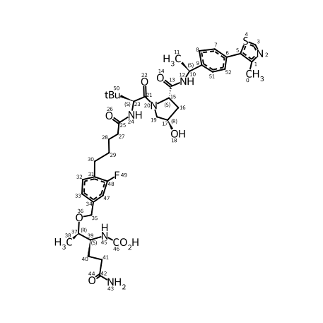 Cc1ncsc1-c1ccc([C@H](C)NC(=O)[C@@H]2C[C@@H](O)CN2C(=O)[C@@H](NC(=O)CCCCc2ccc(CO[C@H](C)[C@H](CCC(N)=O)NC(=O)O)cc2F)C(C)(C)C)cc1